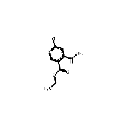 CCOC(=O)c1cnc(Cl)cc1NN